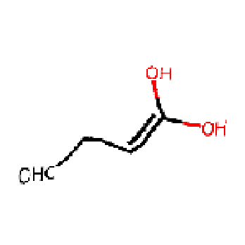 O=CCC=C(O)O